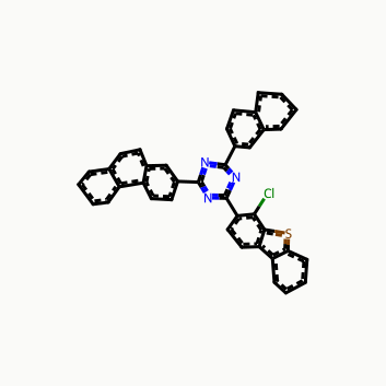 Clc1c(-c2nc(-c3ccc4ccccc4c3)nc(-c3ccc4c(ccc5ccccc54)c3)n2)ccc2c1sc1ccccc12